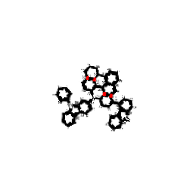 c1ccc(-n2c3ccccc3c3ccc(N(c4ccc(-c5cccc6sc7ccccc7c56)cc4)c4ccccc4-c4cccc5cccc(C6CCCCC6)c45)cc32)cc1